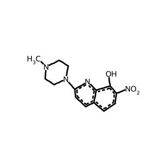 CN1CCN(c2ccc3ccc([N+](=O)[O-])c(O)c3n2)CC1